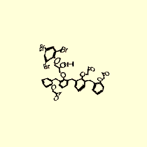 OC(COc1c(Br)cc(Br)cc1Br)COc1c(Cc2ccccc2OCC2CO2)cccc1Cc1cccc(Cc2ccccc2OCC2CO2)c1OCC1CO1